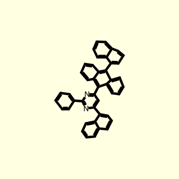 c1ccc(-c2nc(-c3cccc4ccccc34)cc(-c3c4ccccc4c(-c4cccc5ccccc45)c4ccccc34)n2)cc1